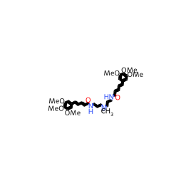 COc1cc(/C=C/C=C/C(=O)NCCCN(C)CCCNC(=O)/C=C/C=C/c2cc(OC)c(OC)c(OC)c2)cc(OC)c1OC